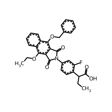 CCOc1c2c(c(OCc3ccccc3)c3ccccc13)C(=O)N(c1ccc(C(CC)C(=O)O)c(F)c1)C2=O